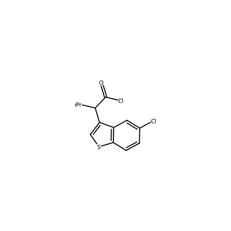 CC(C)C(C(=O)Cl)c1csc2ccc(Cl)cc12